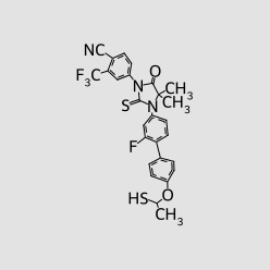 CC(S)Oc1ccc(-c2ccc(N3C(=S)N(c4ccc(C#N)c(C(F)(F)F)c4)C(=O)C3(C)C)cc2F)cc1